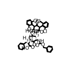 CC(C)C[C@H](NC(=O)OCc1ccccc1)C(=O)N[C@@H](Cc1ccccc1)C(=O)O.O=C(O)C(C(=O)C(C(=O)O)c1c(Cl)cccc1Cl)c1c(Cl)cccc1Cl